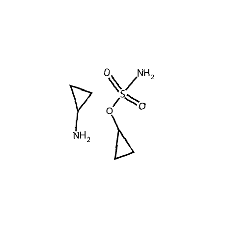 NC1CC1.NS(=O)(=O)OC1CC1